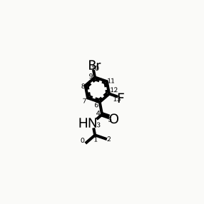 CC(C)NC(=O)c1ccc(Br)cc1F